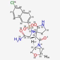 C[C@H](C(=O)N1C[C@@H]2C[C@H]1CO2)[C@@]1(N(CC(N)=O)S(=O)(=O)c2ccc3cc(Cl)ccc3c2)CCNC1=O